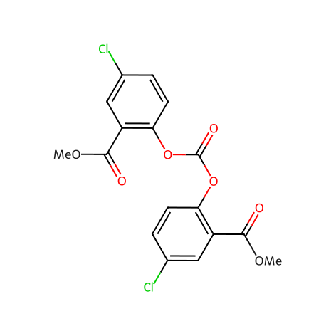 COC(=O)c1cc(Cl)ccc1OC(=O)Oc1ccc(Cl)cc1C(=O)OC